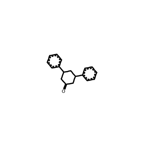 O=C1CC(c2ccccc2)CC(c2ccccc2)C1